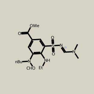 CCCCN(C=O)c1cc(C(=O)OC)cc(S(=O)(=O)/N=C/N(C)C)c1NCC